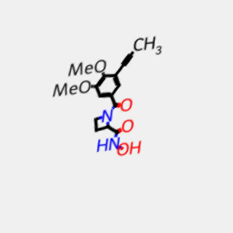 CC#Cc1cc(C(=O)N2CCC2C(=O)NO)cc(OC)c1OC